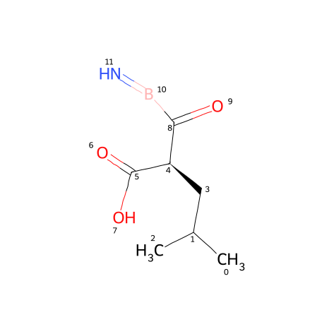 CC(C)C[C@@H](C(=O)O)C(=O)B=N